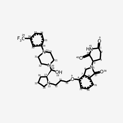 O=C1CCC(N2Cc3c(OCCCN4CCC[C@H]4C(O)N4CCN(c5cccc(C(F)(F)F)c5)CC4)cccc3C2=O)C(=O)N1